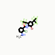 CNc1cccc(C(=O)Nc2c(Br)cc(C(F)(C(F)(F)F)C(F)(F)F)cc2C(F)(F)C(F)(F)F)c1Cl